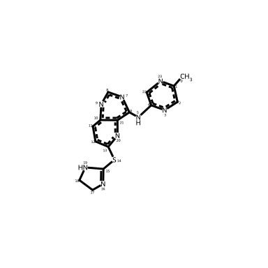 Cc1cnc(Nc2ncnc3ccc(SC4=NCCN4)nc23)cn1